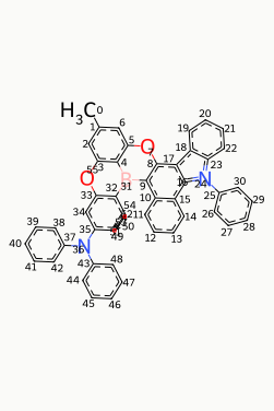 Cc1cc2c3c(c1)Oc1c(c4ccccc4c4c1c1ccccc1n4-c1ccccc1)B3c1c(cc(N(c3ccccc3)c3ccccc3)c3ccccc13)O2